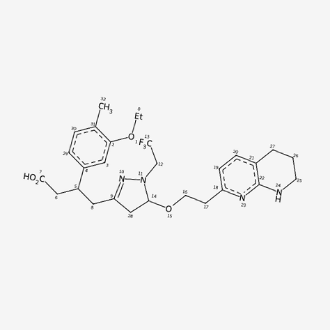 CCOc1cc(C(CC(=O)O)CC2=NN(CC(F)(F)F)C(OCCc3ccc4c(n3)NCCC4)C2)ccc1C